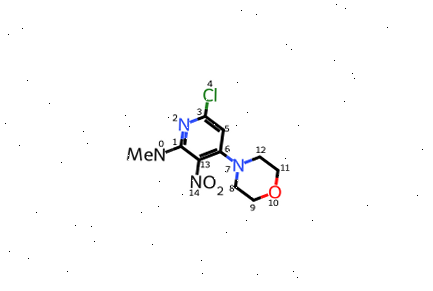 CNc1nc(Cl)cc(N2CCOCC2)c1[N+](=O)[O-]